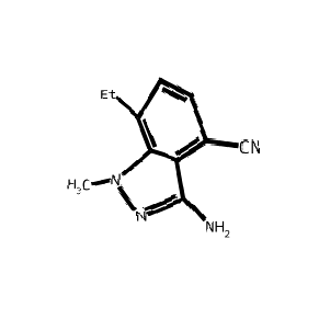 CCc1ccc(C#N)c2c(N)nn(C)c12